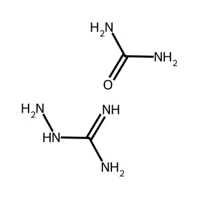 N=C(N)NN.NC(N)=O